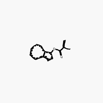 C=C(C)C(=O)Oc1ccc2cccccc1-2